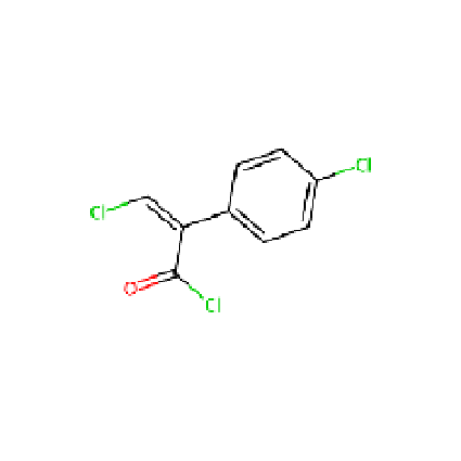 O=C(Cl)C(=CCl)c1ccc(Cl)cc1